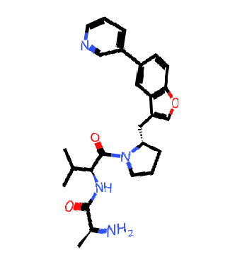 CC(C)[C@H](NC(=O)[C@H](C)N)C(=O)N1CCC[C@H]1Cc1coc2ccc(-c3cccnc3)cc12